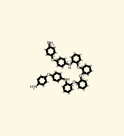 Nc1ccc(Oc2ccc(Nc3ccccc3Oc3ccccc3Oc3ccccc3Oc3ccccc3Nc3ccc(Oc4ccc(N)cc4)cc3)cc2)cc1